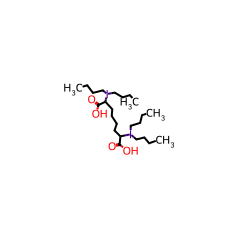 CCCCI(CCCC)C(CCCCC(C(=O)O)I(CCCC)CCCC)C(=O)O